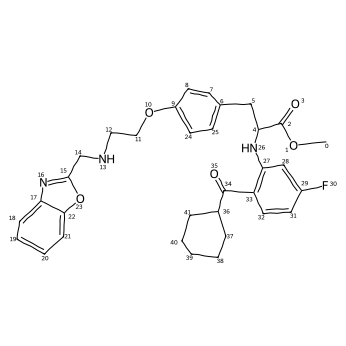 COC(=O)C(Cc1ccc(OCCNCc2nc3ccccc3o2)cc1)Nc1cc(F)ccc1C(=O)C1CCCCC1